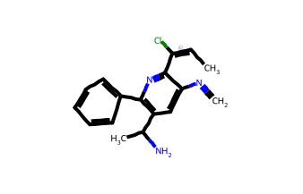 C=Nc1cc(C(C)N)c(-c2ccccc2)nc1/C(Cl)=C\C